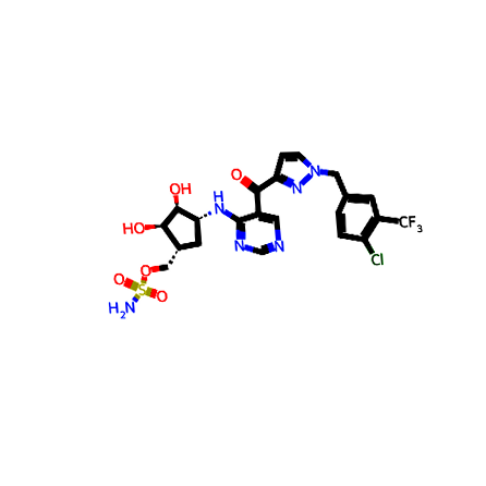 NS(=O)(=O)OC[C@H]1C[C@@H](Nc2ncncc2C(=O)c2ccn(Cc3ccc(Cl)c(C(F)(F)F)c3)n2)[C@H](O)[C@@H]1O